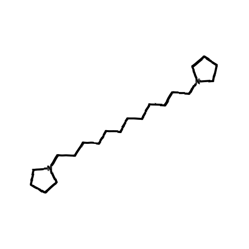 C(CCCCCCN1CCCC1)CCCCCN1CCCC1